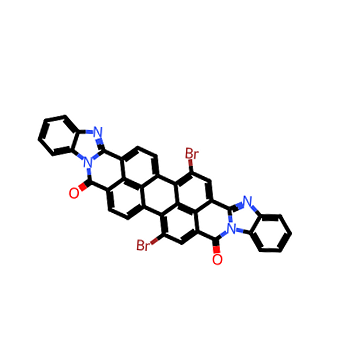 O=c1c2ccc3c4c(Br)cc5c(=O)n6c7ccccc7nc6c6cc(Br)c(c7ccc(c2c37)c2nc3ccccc3n12)c4c56